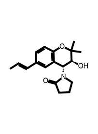 CC=Cc1ccc2c(c1)[C@@H](N1CCCC1=O)[C@H](O)C(C)(C)O2